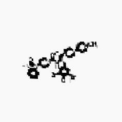 CN1CCC(N2CCN(C(=O)[C@@H](Cc3cc(Br)c(O)c(Br)c3)NC(=O)N3CCC(n4c(=O)[nH]c5ccccc54)CC3)CC2)CC1